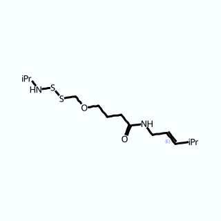 CC(C)/C=C/CNC(=O)CCCOCSSNC(C)C